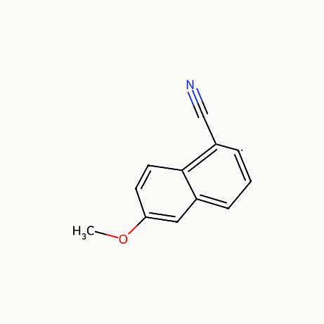 COc1ccc2c(C#N)[c]ccc2c1